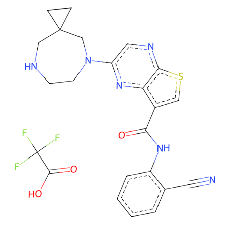 N#Cc1ccccc1NC(=O)c1csc2ncc(N3CCNCC4(CC4)C3)nc12.O=C(O)C(F)(F)F